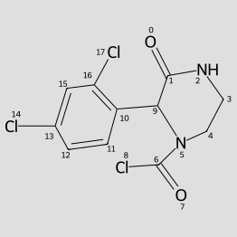 O=C1NCCN(C(=O)Cl)C1c1ccc(Cl)cc1Cl